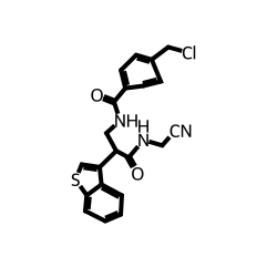 N#CCNC(=O)C(CNC(=O)c1ccc(CCl)cc1)c1csc2ccccc12